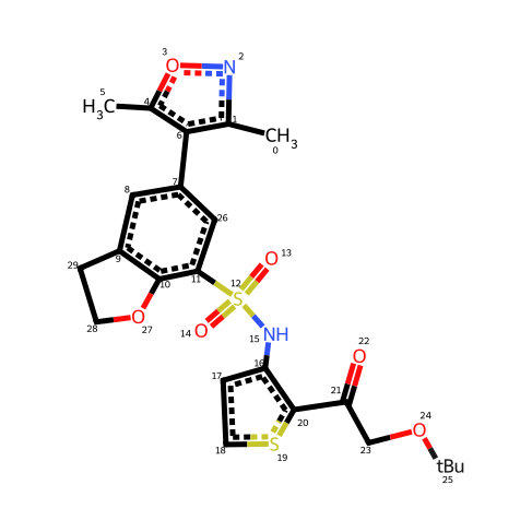 Cc1noc(C)c1-c1cc2c(c(S(=O)(=O)Nc3ccsc3C(=O)COC(C)(C)C)c1)OCC2